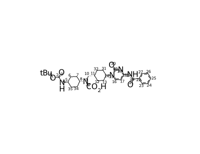 CC(C)(C)OC(=O)N[C@H]1CC[C@H](N(C[C@H]2CC[C@H](n3ccc(NC(=O)c4ccccc4)nc3=O)CC2)C(=O)O)CC1